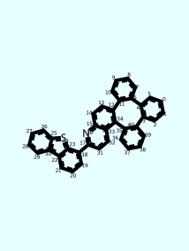 c1ccc2c(c1)-c1ccccc1-c1ccc3nc(-c4cccc5c4sc4ccccc45)ccc3c1-c1ccccc1-2